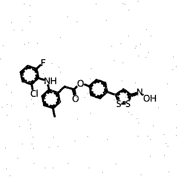 Cc1ccc(Nc2c(F)cccc2Cl)c(CC(=O)Oc2ccc(-c3c/c(=N/O)ss3)cc2)c1